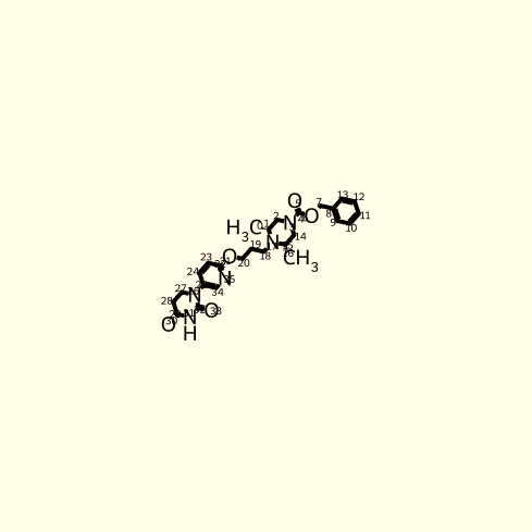 C[C@@H]1CN(C(=O)OCc2ccccc2)C[C@H](C)N1CCCOc1ccc(N2CCC(=O)NC2=O)cn1